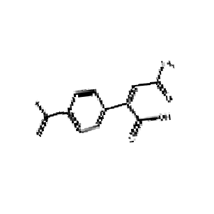 C=C(C)c1ccc(/C(=C/C(N)=O)C(=O)O)cc1